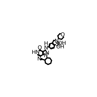 N#CC1CCCCCC1n1nc(Nc2ccc3c(c2)CN(C2CCOCC2)S3(O)O)c2c(=O)[nH]ccc21